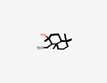 CC1(C)CCCC2(C)C1CCC(C)(O)C2CC=O